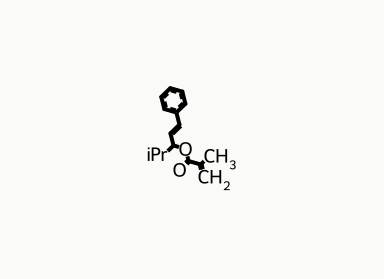 C=C(C)C(=O)OC(C=Cc1ccccc1)C(C)C